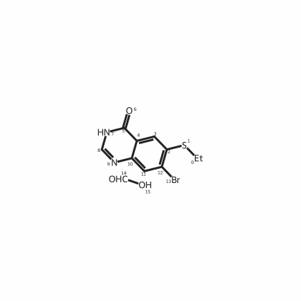 CCSc1cc2c(=O)[nH]cnc2cc1Br.O=CO